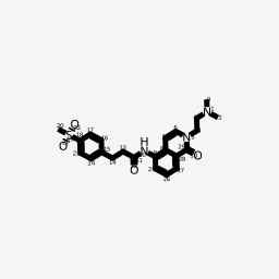 CN(C)CCn1ccc2c(NC(=O)CCc3ccc(S(C)(=O)=O)cc3)cccc2c1=O